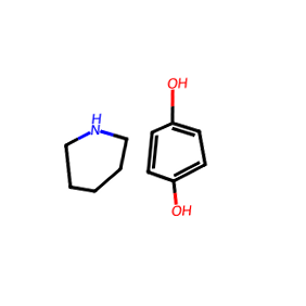 C1CCNCC1.Oc1ccc(O)cc1